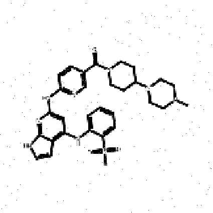 CN1CCN(C2CCN(C(=O)c3ccc(Nc4cc(Nc5ccccc5S(C)(=O)=O)c5cc[nH]c5n4)nc3)CC2)CC1